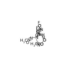 CC(=O)N1CCN(CCCN2CCCc3c4c(cccc4nn3C)-c3cccc(c3)O[C@H]3C[C@@H](C2=O)N(c2ncnc4c2cnn4-c2ccc(F)cc2F)C3)CC1